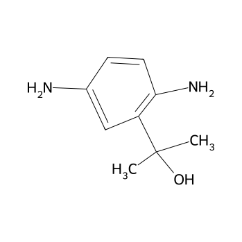 CC(C)(O)c1cc(N)ccc1N